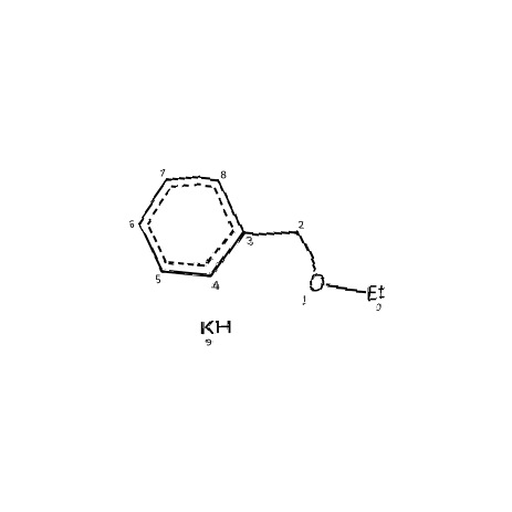 [CH2]COCc1ccccc1.[KH]